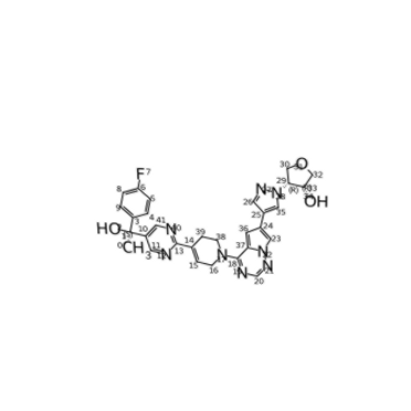 C[C@](O)(c1ccc(F)cc1)c1cnc(C2=CCN(c3ncnn4cc(-c5cnn([C@@H]6COC[C@@H]6O)c5)cc34)CC2)nc1